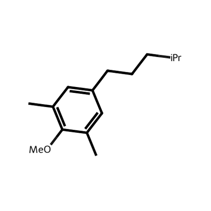 COc1c(C)cc(CCCC(C)C)cc1C